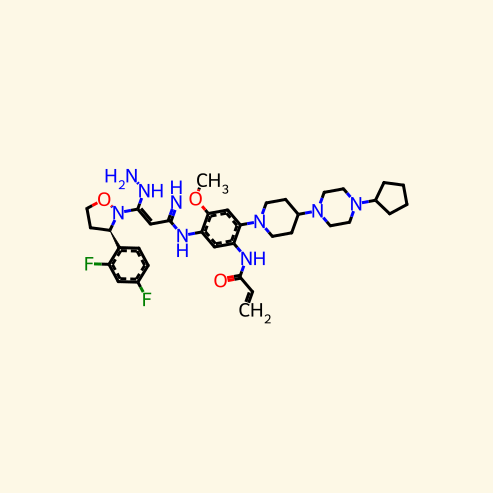 C=CC(=O)Nc1cc(NC(=N)/C=C(\NN)N2OCC[C@@H]2c2ccc(F)cc2F)c(OC)cc1N1CCC(N2CCN(C3CCCC3)CC2)CC1